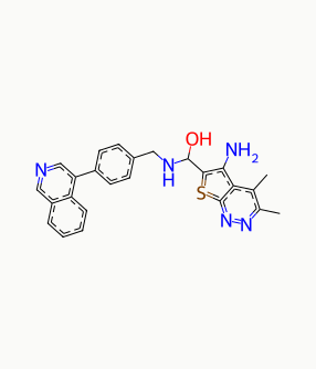 Cc1nnc2sc(C(O)NCc3ccc(-c4cncc5ccccc45)cc3)c(N)c2c1C